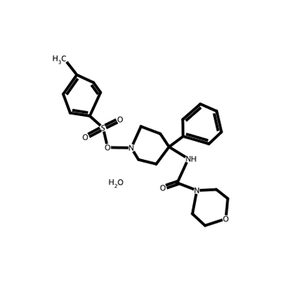 Cc1ccc(S(=O)(=O)ON2CCC(NC(=O)N3CCOCC3)(c3ccccc3)CC2)cc1.O